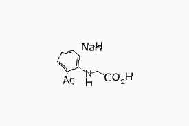 CC(=O)c1ccccc1NCC(=O)O.[NaH]